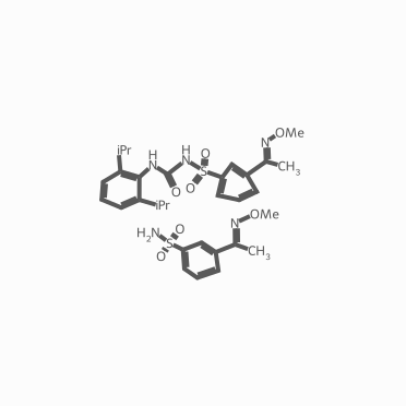 CON=C(C)c1cccc(S(=O)(=O)NC(=O)Nc2c(C(C)C)cccc2C(C)C)c1.CON=C(C)c1cccc(S(N)(=O)=O)c1